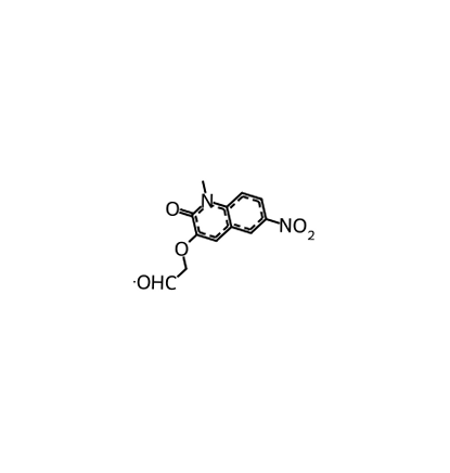 Cn1c(=O)c(OC[C]=O)cc2cc([N+](=O)[O-])ccc21